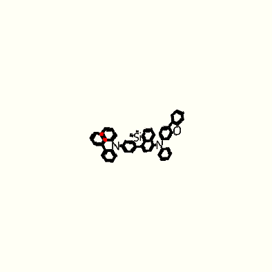 C[Si]1(C)c2cc(N(c3ccccc3)c3ccccc3-c3ccccc3)ccc2-c2ccc(N(c3ccccc3)c3ccc4c(c3)oc3ccccc34)c3cccc1c23